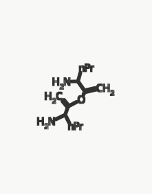 C=C(OC(=C)C(N)CCC)C(N)CCC